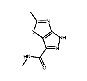 CNC(=O)c1n[nH]c2nc(C)sc12